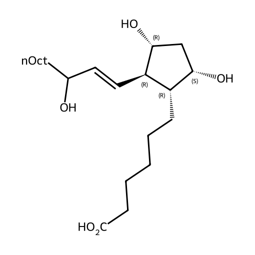 CCCCCCCCC(O)C=C[C@@H]1[C@@H](CCCCCC(=O)O)[C@@H](O)C[C@H]1O